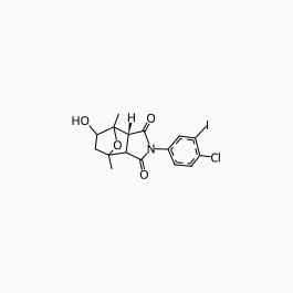 CC12CC(O)C(C)(O1)[C@@H]1C(=O)N(c3ccc(Cl)c(I)c3)C(=O)C12